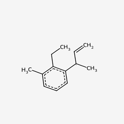 C=C[C](C)c1cccc(C)c1CC